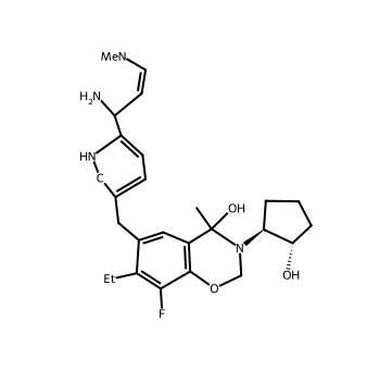 CCc1c(CC2=CC=C(C(N)/C=C\NC)NC2)cc2c(c1F)OCN([C@H]1CCC[C@@H]1O)C2(C)O